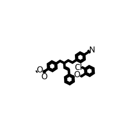 COC(=O)c1ccc(CC(C=Cc2ccccc2OCc2ccccc2Cl)CCc2ccc(C#N)cc2)cc1